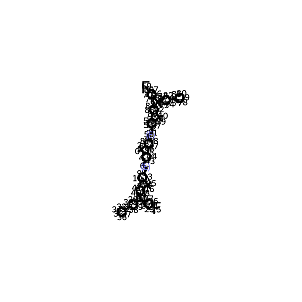 CC1(C)c2cc(/C=C/c3ccc4c(c3)C(C)(C)c3cc(N(c5ccc(F)cc5)c5ccc(-c6ccccc6)cc5)ccc3-4)ccc2-c2ccc(/C=C/c3ccc4c(c3)C(C)(C)c3cc(N(c5ccc(F)cc5)c5ccc(-c6ccccc6)cc5)ccc3-4)cc21